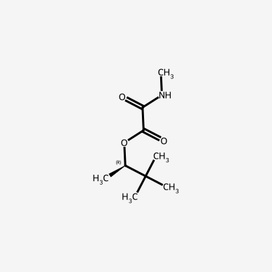 CNC(=O)C(=O)O[C@H](C)C(C)(C)C